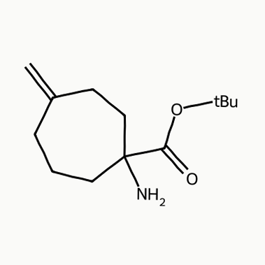 C=C1CCCC(N)(C(=O)OC(C)(C)C)CC1